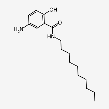 CCCCCCCCCCNC(=O)c1cc(N)ccc1O